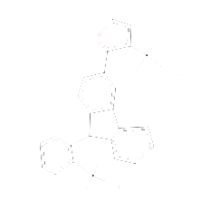 CC(C)(C)c1ccccc1C1c2ccccc2-c2cc(-c3occc3C(C)(C)C)ccc21